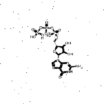 Nc1nc2c(ncn2[C@@H]2O[C@H](CSP(=O)(O)OP(=O)(O)OP(=O)(O)O)C(O)C2O)c(=O)[nH]1